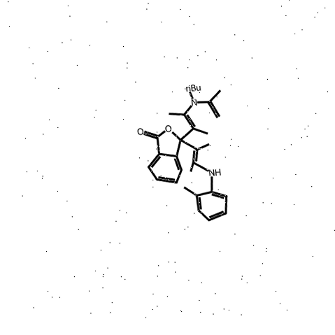 C=C(C)N(CCCC)/C(C)=C(\C)C1(/C(C)=C(\C)Nc2ccccc2C)OC(=O)c2ccccc21